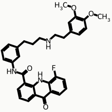 COc1ccc(CCNCCCc2cccc(NC(=O)c3cccc4c(=O)c5cccc(F)c5[nH]c34)c2)cc1OC